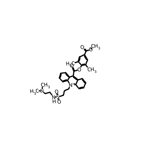 COC(=O)c1cc(C)c(OC(=O)c2c3ccccc3[n+](CCCS(=O)(=O)NCCN(C)C)c3ccccc23)c(C)c1